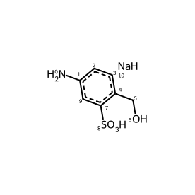 Nc1ccc(CO)c(S(=O)(=O)O)c1.[NaH]